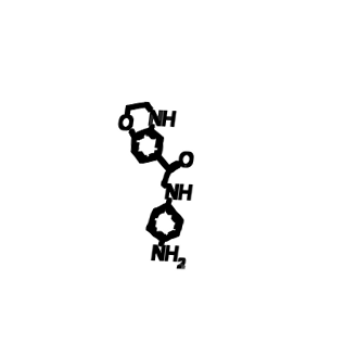 Nc1ccc(NCC(=O)c2ccc3c(c2)NCCO3)cc1